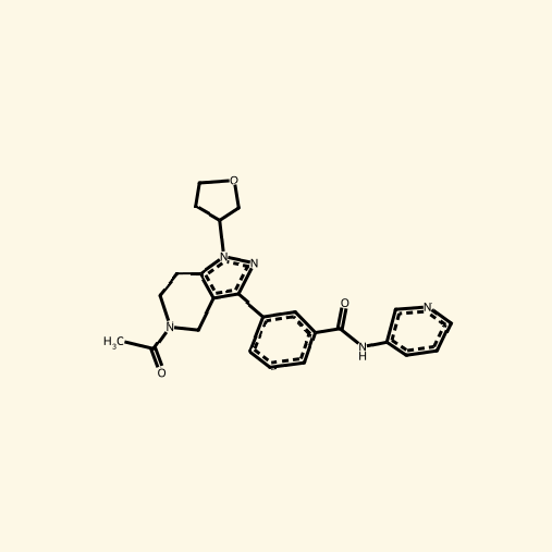 CC(=O)N1CCc2c(c(-c3cccc(C(=O)Nc4cccnc4)c3)nn2C2CCOC2)C1